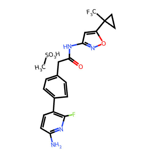 CS(=O)(=O)O.Nc1ccc(-c2ccc(CC(=O)Nc3cc(C4(C(F)(F)F)CC4)on3)cc2)c(F)n1